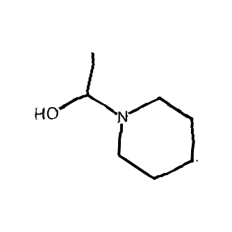 CC(O)N1CC[CH]CC1